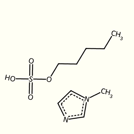 CCCCCOS(=O)(=O)O.Cn1ccnc1